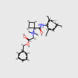 Cc1cc(C)c(NC(=O)C2([N+](C)(C)CC(=O)OCc3ccccc3)CCC2)c(C)c1